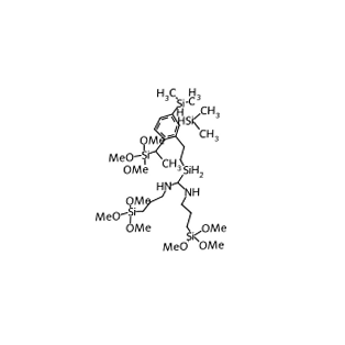 CO[Si](CCCNC(NCCC[Si](OC)(OC)OC)[SiH2]CCc1c(C(C)[Si](OC)(OC)OC)ccc([SiH](C)C)c1[SiH](C)C)(OC)OC